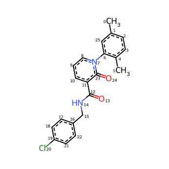 Cc1ccc(C)c(-n2cccc(C(=O)NCc3ccc(Cl)cc3)c2=O)c1